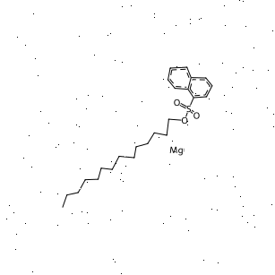 CCCCCCCCCCCCCCOS(=O)(=O)c1cccc2ccccc12.[Mg]